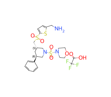 NCc1ccc(S(=O)(=O)C[C@H]2C[C@H](c3ccccc3)CN(S(=O)(=O)N3CCOCC3)C2)s1.O=C(O)C(F)(F)F